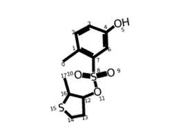 Cc1ccc(O)cc1S(=O)(=O)OC1CCSC1C